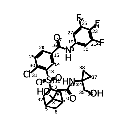 O=C(CC1(O)C2CC1CC(S(=O)(=O)c1cc(C(=O)Nc3cc(F)c(F)c(F)c3)ccc1Cl)C2)NC1(CO)CC1